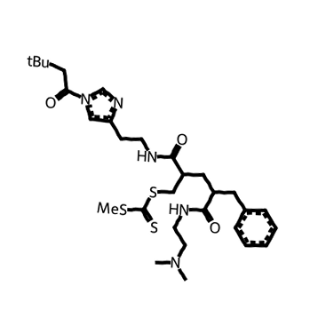 CSC(=S)SCC(CC(Cc1ccccc1)C(=O)NCCN(C)C)C(=O)NCCc1cn(C(=O)CC(C)(C)C)cn1